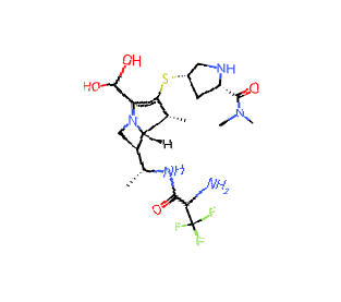 C[C@@H](NC(=O)C(N)C(F)(F)F)[C@H]1CN2C(C(O)O)=C(S[C@@H]3CN[C@H](C(=O)N(C)C)C3)[C@H](C)[C@H]12